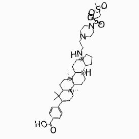 CC1(C)C(c2ccc(C(=O)O)cc2)=CC[C@@]2(C)C1CC[C@@]1(C)C3CC[C@@]4(NCCN5CCN(S(=O)(=O)CS(C)(=O)=O)CC5)CCCC4[C@H]3CCC12